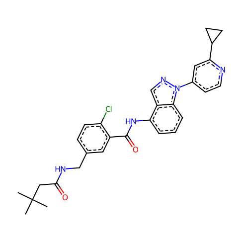 CC(C)(C)CC(=O)NCc1ccc(Cl)c(C(=O)Nc2cccc3c2cnn3-c2ccnc(C3CC3)c2)c1